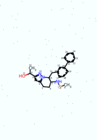 CSNC1CCc2cc(C(C)O)nn2C1Cc1cccc(-c2ccccc2)c1